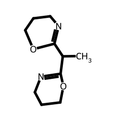 CC(C1=NCCCO1)C1=NCCCO1